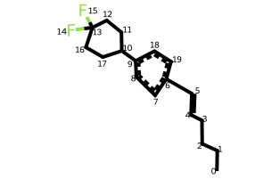 CCCCC=Cc1ccc(C2CCC(F)(F)CC2)cc1